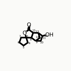 O=C1OC2(CCCC2)C2C3CC(O)C(C3)C12